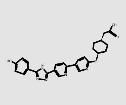 O=C(O)C[C@H]1CC[C@@H](Oc2ccc(-c3ccc(-c4nnc(-c5ccc(O)cc5)[nH]4)cn3)cn2)CC1